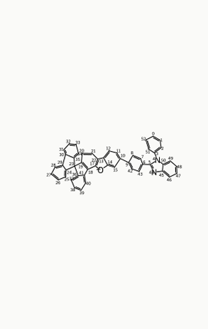 c1ccc(-n2c(-c3ccc(-c4ccc5c(c4)oc4c6c(ccc45)C4(c5ccccc5-c5ccccc54)c4ccccc4-6)cc3)nc3ccccc32)cc1